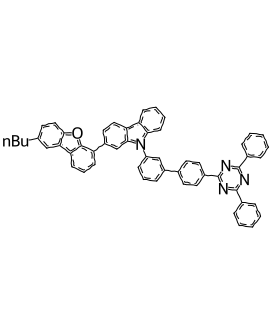 CCCCc1ccc2oc3c(-c4ccc5c6ccccc6n(-c6cccc(-c7ccc(-c8nc(-c9ccccc9)nc(-c9ccccc9)n8)cc7)c6)c5c4)cccc3c2c1